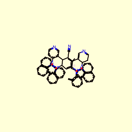 C=Cc1c(/C=C\C)n(C2CC=NC=C2C2=C(C#N)C(c3cnccc3-n3c4ccccc4c4ccccc43)C(n3c4ccccc4c4ccccc43)C=C2n2c3ccccc3c3ccccc32)c2ccccc12